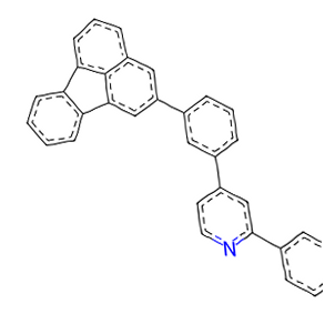 c1ccc(-c2cc(-c3cccc(-c4cc5c6c(cccc6c4)-c4ccccc4-5)c3)ccn2)cc1